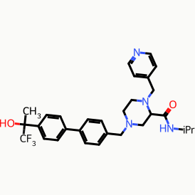 CC(C)NC(=O)C1CN(Cc2ccc(-c3ccc(C(C)(O)C(F)(F)F)cc3)cc2)CCN1Cc1ccncc1